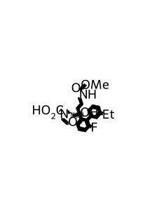 CCc1cccc(-c2c(F)cccc2[C@@](O)(CCCNC(=O)OC)[C@H]2CN(C(=O)O)CCO2)c1